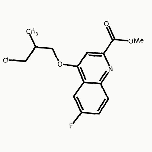 COC(=O)c1cc(OCC(C)CCl)c2cc(F)ccc2n1